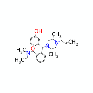 C=CCN1C[C@H](C)N([C@@H](c2cccc(O)c2)c2ccccc2C(=O)N(C)CC)C[C@@H]1C